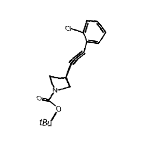 CC(C)(C)OC(=O)N1CC(C#Cc2ccccc2Cl)C1